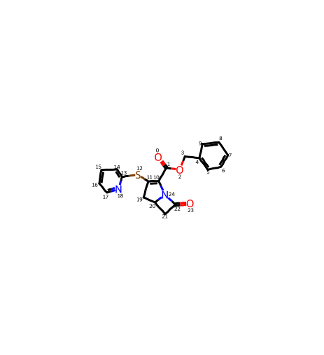 O=C(OCc1ccccc1)C1=C(Sc2ccccn2)CC2CC(=O)N12